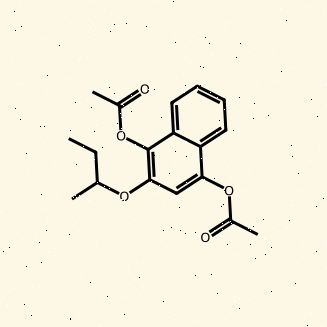 CCC(C)Oc1cc(OC(C)=O)c2ccccc2c1OC(C)=O